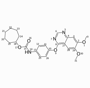 COc1cc2ncnc(Oc3ccc(NC(=O)OC4CCCCCC4)cc3)c2cc1OC